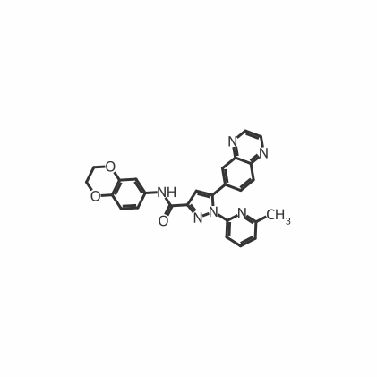 Cc1cccc(-n2nc(C(=O)Nc3ccc4c(c3)OCCO4)cc2-c2ccc3nccnc3c2)n1